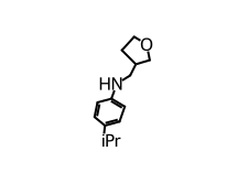 CC(C)c1ccc(NCC2CCOC2)cc1